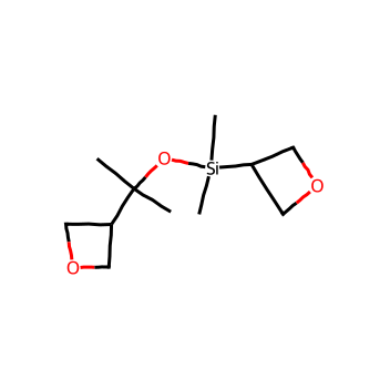 CC(C)(O[Si](C)(C)C1COC1)C1COC1